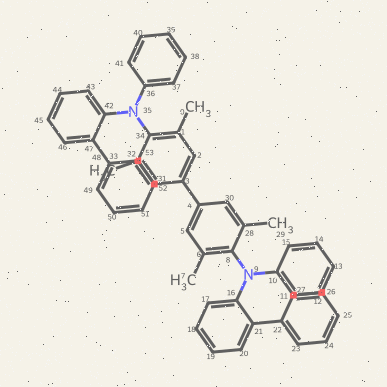 Cc1cc(-c2cc(C)c(N(c3ccccc3)c3ccccc3-c3ccccc3)c(C)c2)cc(C)c1N(c1ccccc1)c1ccccc1-c1ccccc1